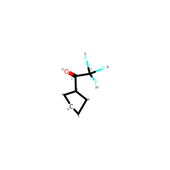 O=C(C1CCCC1)C(F)(F)F